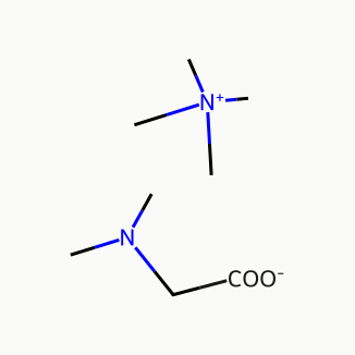 CN(C)CC(=O)[O-].C[N+](C)(C)C